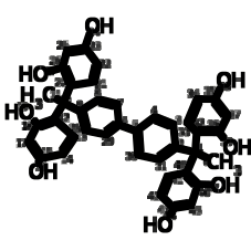 CC(c1ccc(-c2ccc(C(C)(c3ccc(O)cc3O)c3ccc(O)cc3O)cc2)cc1)(c1ccc(O)cc1O)c1ccc(O)cc1O